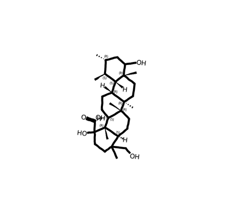 C[C@@H]1[C@H]2[C@H]3CC[C@@H]4[C@]5(C)[C@@H](CC[C@@]4(C)[C@]3(C)CC[C@@]2(C)C(O)C[C@H]1C)C(C)(CO)CCC5(O)C(=O)O